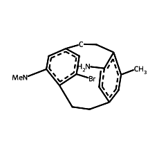 CNc1cc2cc(Br)c1CCc1cc(C)c(c(N)c1)CC2